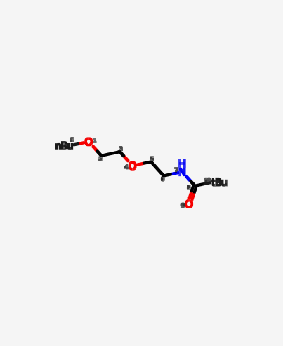 CCCCOCCOCCNC(=O)C(C)(C)C